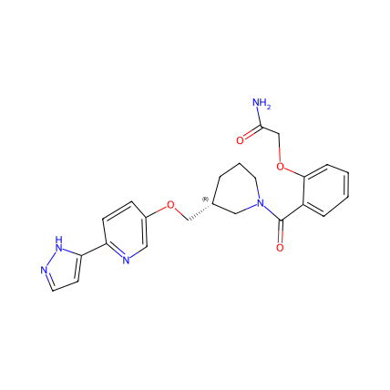 NC(=O)COc1ccccc1C(=O)N1CCC[C@@H](COc2ccc(-c3ccn[nH]3)nc2)C1